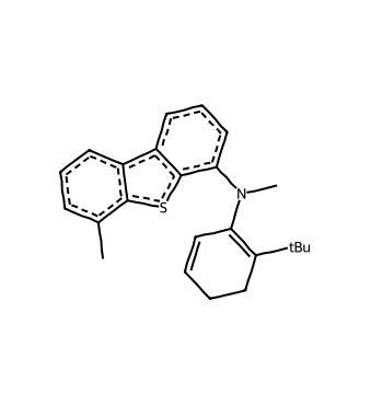 Cc1cccc2c1sc1c(N(C)C3=C(C(C)(C)C)CCC=C3)cccc12